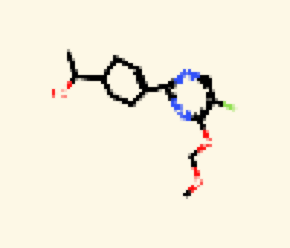 COCOc1nc(C2=CCC(C(C)O)CC2)ncc1F